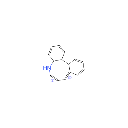 C1=C/C2=C/C=C\NC3C=CC=CC3C2C=C1